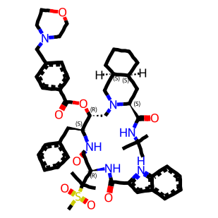 CC(C)(C)NC(=O)[C@@H]1C[C@@H]2CCCC[C@@H]2CN1C[C@@H](OC(=O)c1ccc(CN2CCOCC2)cc1)[C@H](Cc1ccccc1)NC(=O)[C@@H](NC(=O)c1cc2ccccc2[nH]1)C(C)(C)S(C)(=O)=O